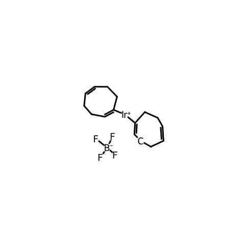 C1=CCC[C]([Ir+][C]2=CCCC=CCC2)=CCC1.F[B-](F)(F)F